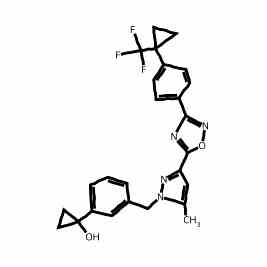 Cc1cc(-c2nc(-c3ccc(C4(C(F)(F)F)CC4)cc3)no2)nn1Cc1cccc(C2(O)CC2)c1